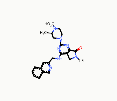 CCCN1Cc2c(NCc3cc4ccccc4cn3)nc(N3CCN(C(=O)O)[C@H](C)C3)nc2C1=O